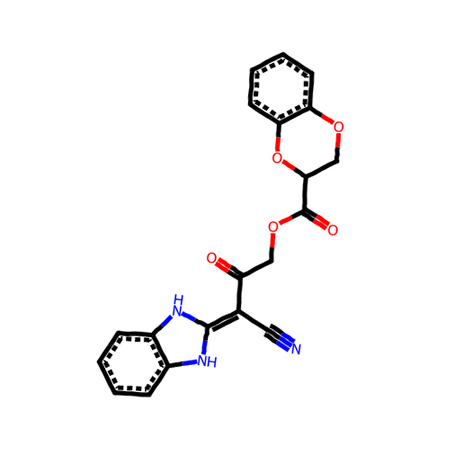 N#CC(C(=O)COC(=O)C1COc2ccccc2O1)=C1Nc2ccccc2N1